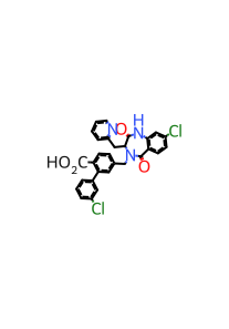 O=C(O)c1ccc(CN2C(=O)c3ccc(Cl)cc3NC(=O)C2Cc2ccccn2)cc1-c1cccc(Cl)c1